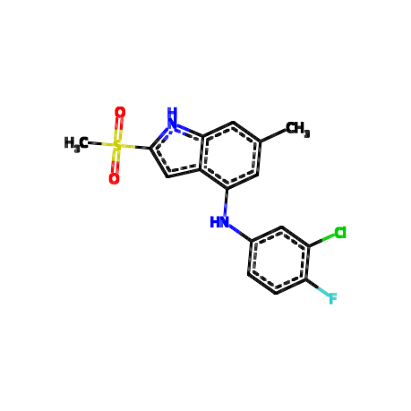 Cc1cc(Nc2ccc(F)c(Cl)c2)c2cc(S(C)(=O)=O)[nH]c2c1